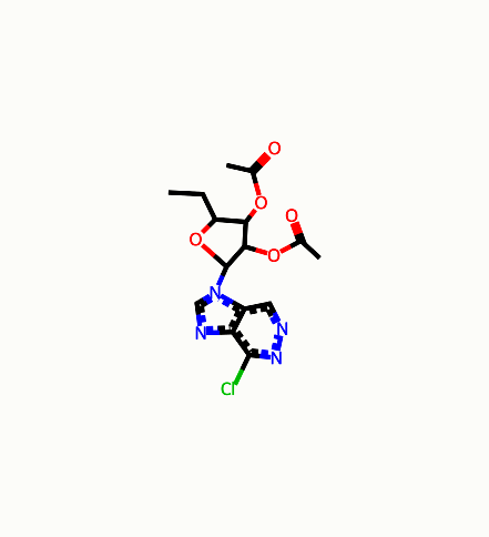 CCC1OC(n2cnc3c(Cl)nncc32)C(OC(C)=O)C1OC(C)=O